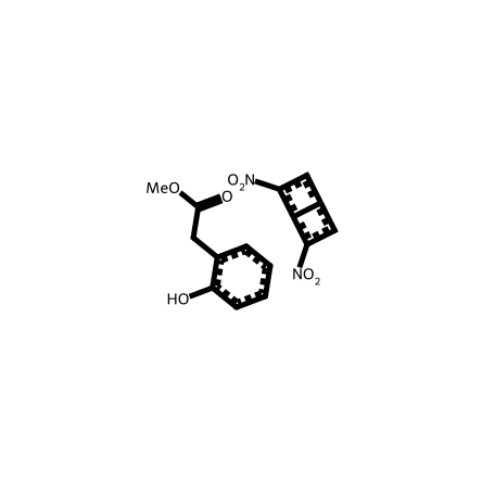 COC(=O)Cc1ccccc1O.O=[N+]([O-])c1cc2cc([N+](=O)[O-])c1-2